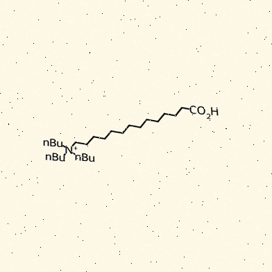 CCCC[N+](CCCC)(CCCC)CCCCCCCCCCCCCC(=O)O